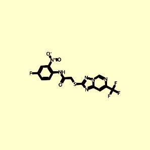 O=C(CSc1nc2cc(C(F)(F)F)ncn2n1)Nc1ccc(F)cc1[N+](=O)[O-]